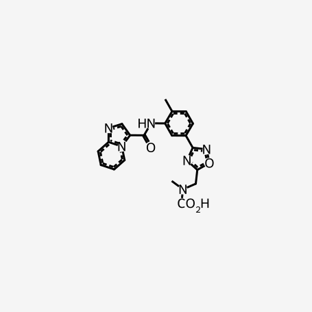 Cc1ccc(-c2noc(CN(C)C(=O)O)n2)cc1NC(=O)c1cnc2ccccn12